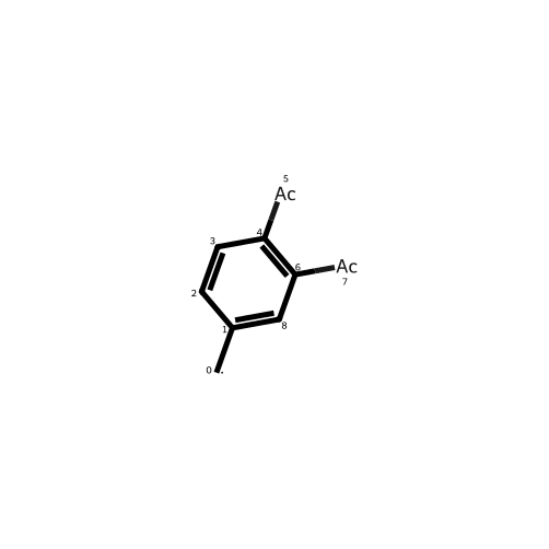 [CH2]c1ccc(C(C)=O)c(C(C)=O)c1